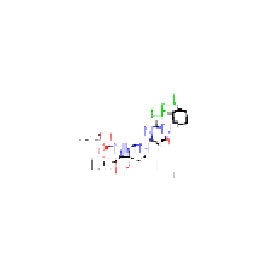 Cc1c(N2CCC3(CC2)CO[C@@H](C)[C@H]3NC(=O)OC(C)(C)C)nc(C)n(-c2cccc(Cl)c2Cl)c1=O